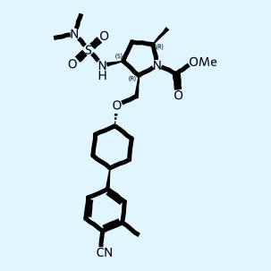 COC(=O)N1[C@H](C)C[C@H](NS(=O)(=O)N(C)C)[C@@H]1CO[C@H]1CC[C@H](c2ccc(C#N)c(C)c2)CC1